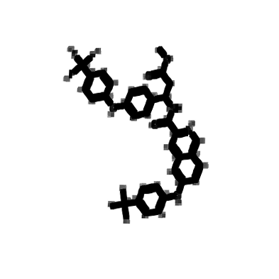 COC(=O)CC(NC(=O)c1cc2cc(Oc3ccc(C(C)(C)C)cc3)ccc2cn1)c1ccc(Oc2ccc(C(F)(F)F)cc2)cc1